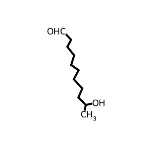 CC(O)CCCCCCCCC=O